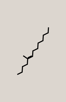 CCCCCCC/C=C(\C)CCCC